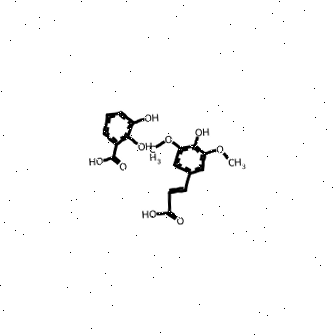 COc1cc(/C=C/C(=O)O)cc(OC)c1O.O=C(O)c1cccc(O)c1O